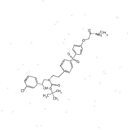 CNC(=O)COc1ccc(S(=O)(=O)c2ccc(CCN(CC(O)c3cccc(Cl)c3)C(=O)OC(C)(C)C)cc2)cc1